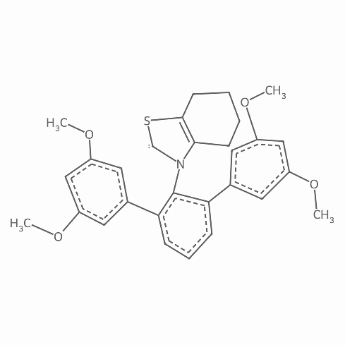 COc1cc(OC)cc(-c2cccc(-c3cc(OC)cc(OC)c3)c2N2[C]SC3=C2CCCC3)c1